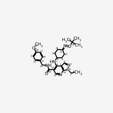 CCn1ncc2c(NC3CCC(=NOC(C)(C)C)CC3)c(C(=O)NCc3ccc(OC)cc3)cnc21